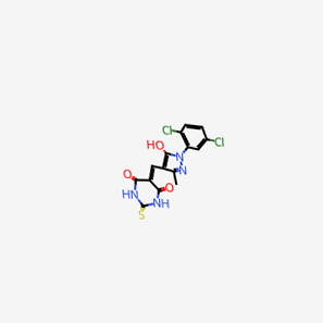 Cc1nn(-c2cc(Cl)ccc2Cl)c(O)c1C=C1C(=O)NC(=S)NC1=O